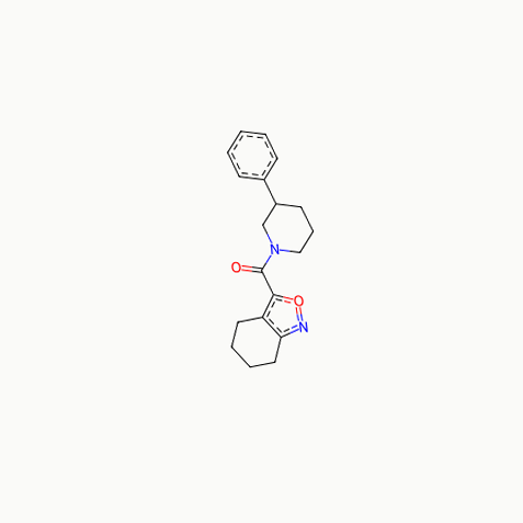 O=C(c1onc2c1CCCC2)N1CCCC(c2ccccc2)C1